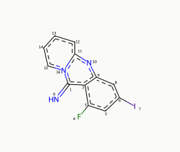 N=c1c2c(F)cc(I)cc2nc2ccccn12